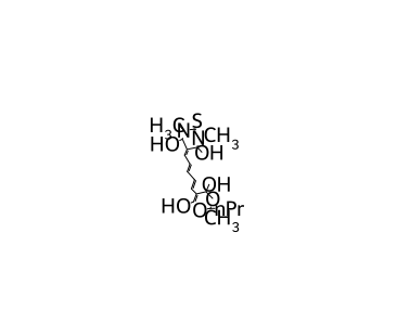 CCCC1(C)OC(O)=C(C=CC=CC=C2C(O)N(C)C(=S)N(C)C2O)C(O)O1